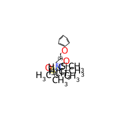 CC(C)(C)[S@+]([O-])/N=C/[C@@H](COc1ccccc1)O[Si](C)(C)C(C)(C)C